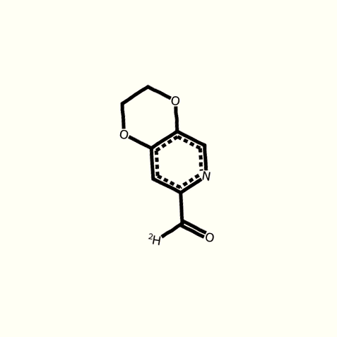 [2H]C(=O)c1cc2c(cn1)OCCO2